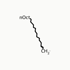 [CH2]C=CCCCCCCCCCCCCCCCCCCC